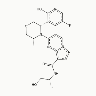 C[C@H](CO)NC(=O)c1cnn2ccc(N3[C@H](C)COC[C@@H]3c3cc(F)cnc3O)nc12